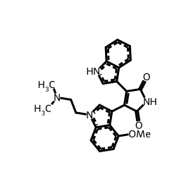 COc1cccc2c1c(C1=C(c3c[nH]c4ccccc34)C(=O)NC1=O)cn2CCN(C)C